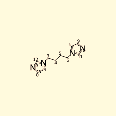 [c]1cn(CCCCn2ccnc2)cn1